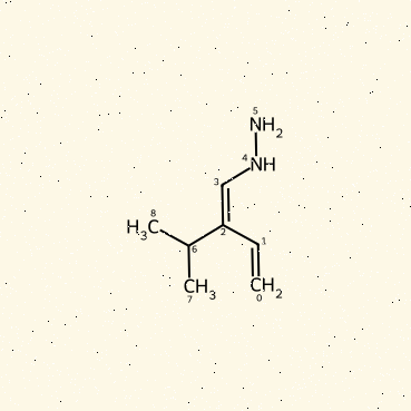 C=C/C(=C\NN)C(C)C